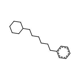 c1ccc(CCCCCCC2CCCCC2)cc1